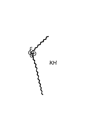 CCCCCCCCCCCCCCCCCCCCCOS(=O)(=O)C(F)CCCCCCCCCCC.[KH]